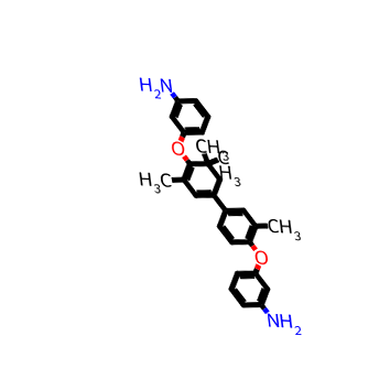 CC1=C(Oc2cccc(N)c2)C(C)(C)CC(c2ccc(Oc3cccc(N)c3)c(C)c2)=C1